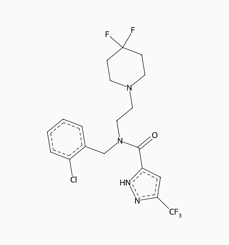 O=C(c1cc(C(F)(F)F)n[nH]1)N(CCN1CCC(F)(F)CC1)Cc1ccccc1Cl